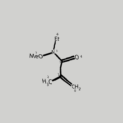 C=C(C)C(=O)N(CC)OC